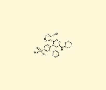 CC(C)(C)c1ccc(N(C(=O)c2cncnc2C#N)C(C(=O)NC2CCCCC2)c2cccnc2)cc1